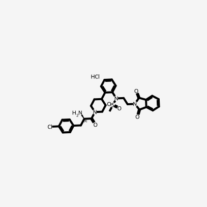 CS(=O)(=O)N(CCN1C(=O)c2ccccc2C1=O)c1ccccc1C1CCN(C(=O)[C@H](N)Cc2ccc(Cl)cc2)CC1.Cl